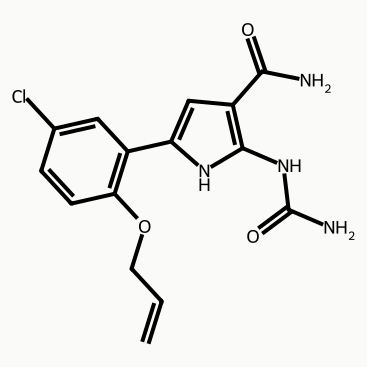 C=CCOc1ccc(Cl)cc1-c1cc(C(N)=O)c(NC(N)=O)[nH]1